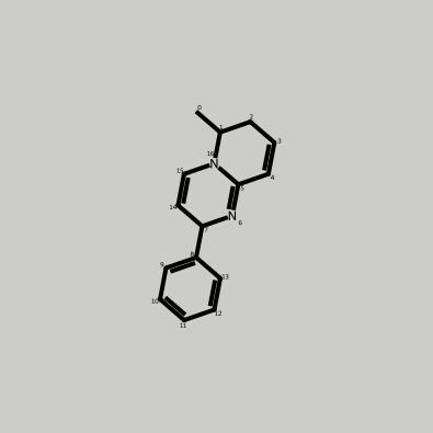 CC1CC=CC2=NC(c3ccccc3)C=CN21